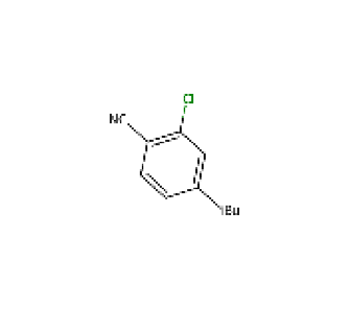 CCC(C)c1ccc(C#N)c(Cl)c1